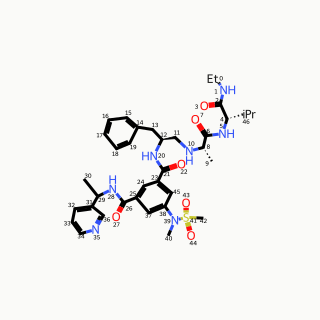 CCNC(=O)[C@@H](NC(=O)[C@H](C)NC[C@H](Cc1ccccc1)NC(=O)c1cc(C(=O)NC(C)c2cccnc2)cc(N(C)S(C)(=O)=O)c1)C(C)C